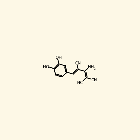 N#CC(C#N)=C(N)/C(C#N)=C/c1ccc(O)c(O)c1